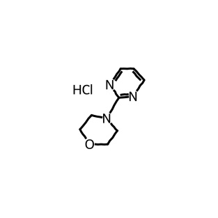 Cl.c1cnc(N2CCOCC2)nc1